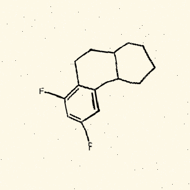 Fc1cc(F)c2c(c1)C1CCCCC1CC2